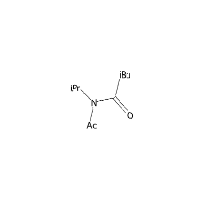 CCC(C)C(=O)N(C(C)=O)C(C)C